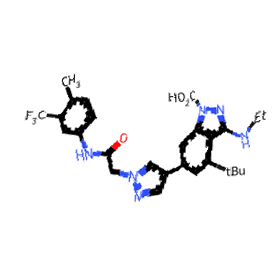 CCNc1nn(C(=O)O)c2cc(-c3cnn(CC(=O)Nc4ccc(C)c(C(F)(F)F)c4)c3)cc(C(C)(C)C)c12